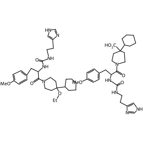 CCOC1(C2CCCCC2)CCN(C(=O)C(Cc2ccc(OC)cc2)NC(=O)NCCc2c[nH]cn2)CC1.COc1ccc(CC(NC(=O)NCCc2c[nH]cn2)C(=O)N2CCC(C(=O)O)(C3CCCCC3)CC2)cc1